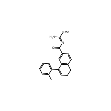 CN/C(N)=N/C(=O)c1ccc2c(c1)C(c1ccccc1C)=CCC2